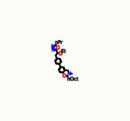 CCCCCCCCC(=O)N(C)Cc1cccc(-c2ccc(CC(OCC)c3nnc(CCC)o3)cc2)c1